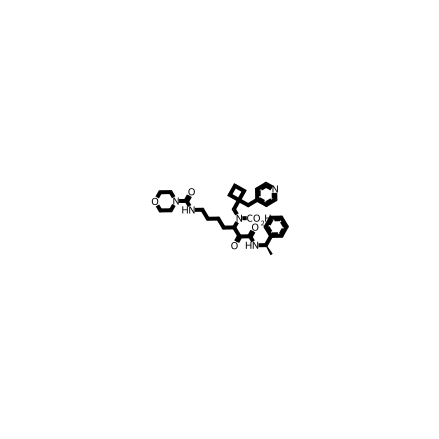 C[C@@H](NC(=O)C(=O)C(CCCCNC(=O)N1CCOCC1)N(CC1(Cc2ccncc2)CCC1)C(=O)O)c1ccccc1